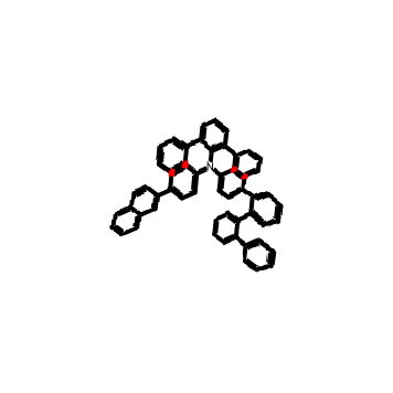 c1ccc(-c2ccccc2-c2ccccc2-c2ccc(N(c3ccc(-c4ccc5ccccc5c4)cc3)c3c(-c4ccccc4)cccc3-c3ccccc3)cc2)cc1